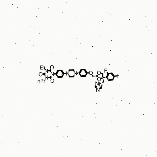 CCCn1c(=O)n(CC)c(=O)n(-c2ccc(N3CCN(c4ccc(OC[C@H]5OC[C@](Cn6cncn6)(c6ccc(F)cc6F)O5)cc4)CC3)cc2)c1=O